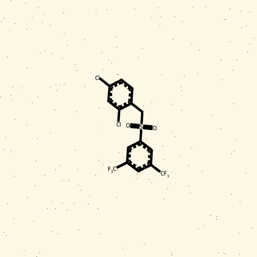 O=S(=O)(Cc1ccc(Cl)cc1Cl)c1cc(C(F)(F)F)cc(C(F)(F)F)c1